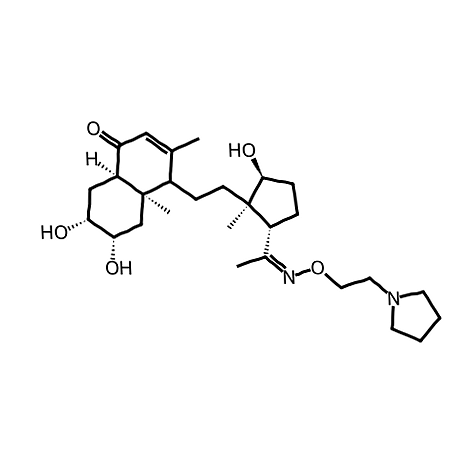 CC1=CC(=O)[C@@H]2C[C@@H](O)[C@@H](O)C[C@]2(C)C1CC[C@]1(C)[C@@H](/C(C)=N\OCCN2CCCC2)CC[C@@H]1O